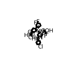 CNS(=O)(=O)c1ccc(N2CCCC(F)(F)C2)c(Nc2cc(Nc3ccc(Cl)cc3)ncn2)c1.O=C(O)C(F)(F)F